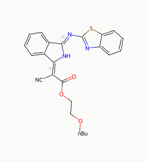 CCCCOCCOC(=O)/C(C#N)=C1\N/C(=N\c2nc3ccccc3s2)c2ccccc21